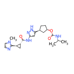 CC(C)NC(=O)O[C@@H]1CC[C@H](c2cc(NC(=O)[C@@H]3C[C@H]3c3nccn3C)n[nH]2)C1